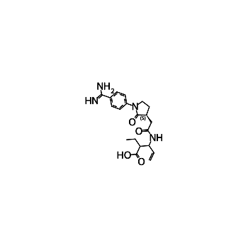 C=CC(NC(=O)C[C@@H]1CCN(c2ccc(C(=N)N)cc2)C1=O)C(CC)C(=O)O